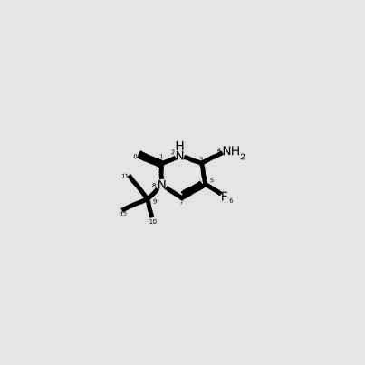 C=C1NC(N)C(F)=CN1C(C)(C)C